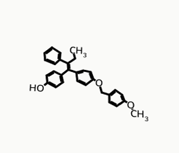 CC/C(=C(/c1ccc(O)cc1)c1ccc(OCc2ccc(OC)cc2)cc1)c1ccccc1